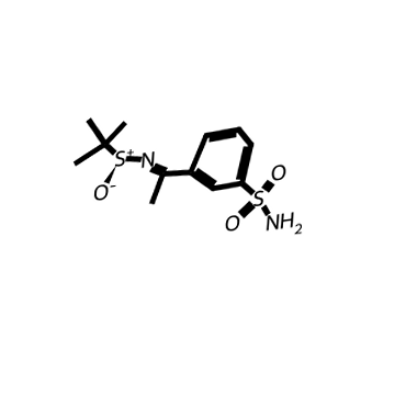 C/C(=N\[S@@+]([O-])C(C)(C)C)c1cccc(S(N)(=O)=O)c1